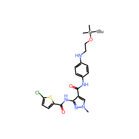 Cn1cc(C(=O)Nc2ccc(NCCO[Si](C)(C)C(C)(C)C)cc2)c(NC(=O)c2ccc(Cl)s2)n1